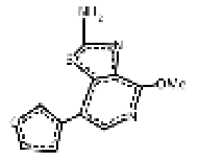 COc1ncc(-c2ccoc2)c2sc(N)nc12